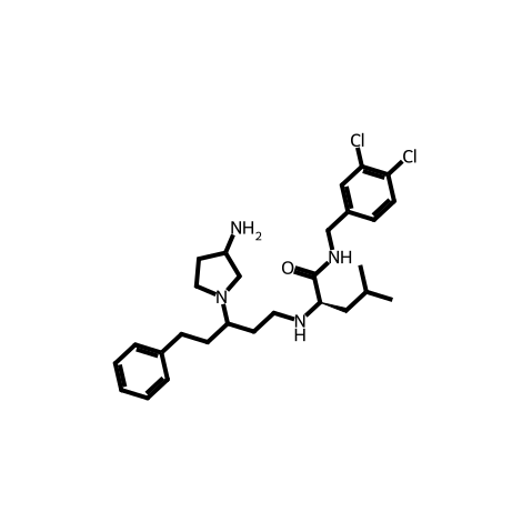 CC(C)C[C@@H](NCCC(CCc1ccccc1)N1CCC(N)C1)C(=O)NCc1ccc(Cl)c(Cl)c1